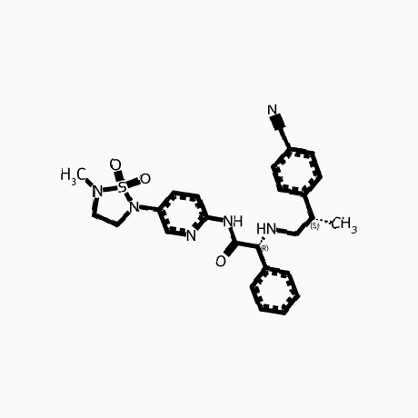 C[C@H](CN[C@@H](C(=O)Nc1ccc(N2CCN(C)S2(=O)=O)cn1)c1ccccc1)c1ccc(C#N)cc1